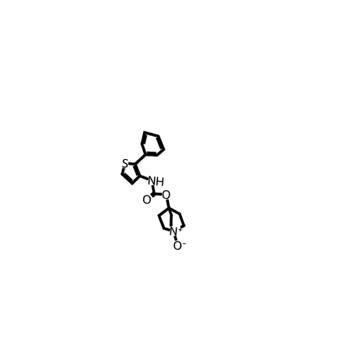 O=C(Nc1ccsc1-c1ccccc1)OC12CC[N+]([O-])(CC1)CC2